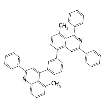 Cc1cccc2nc(-c3ccccc3)cc(-c3cccc(-c4ccc(C)c5c(-c6ccccc6)nc(-c6ccccc6)cc45)c3)c12